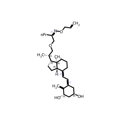 C=CCO/N=C(/CCC)COC[C@@H](C)[C@H]1CC[C@H]2/C(=C/C=C3/C[C@@H](O)C[C@H](O)C3=C)CCC[C@]12C